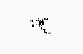 CCCCn1nc(O)c(CC)c1C